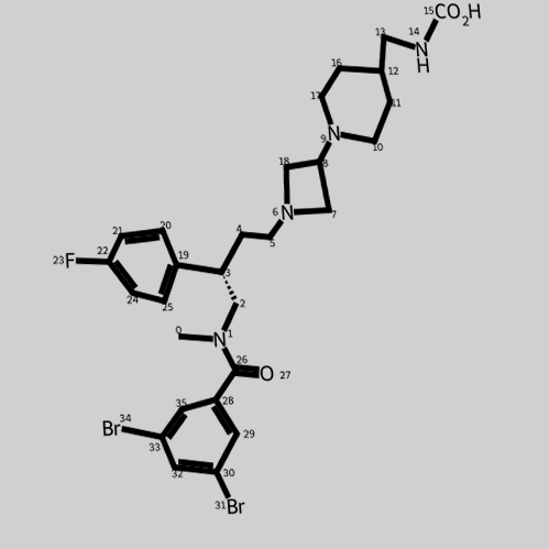 CN(C[C@@H](CCN1CC(N2CCC(CNC(=O)O)CC2)C1)c1ccc(F)cc1)C(=O)c1cc(Br)cc(Br)c1